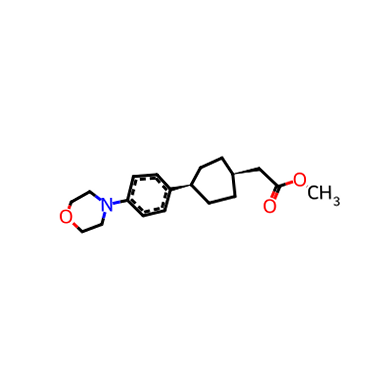 COC(=O)C[C@H]1CC[C@@H](c2ccc(N3CCOCC3)cc2)CC1